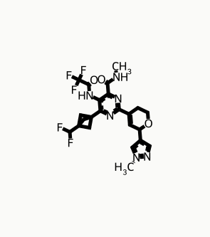 CNC(=O)c1nc(C2=CC(c3cnn(C)c3)OCC2)nc(C23CC(C(F)F)(C2)C3)c1NC(=O)C(F)(F)F